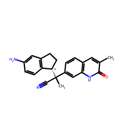 Cc1cc2ccc(C(C)(C#N)[C@H]3CCc4cc(N)ccc43)cc2[nH]c1=O